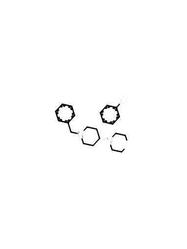 Clc1ccc([C@H]2CN(Cc3ccccc3)CC[C@H]2N2CCOCC2)cc1